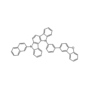 c1cc(-c2ccc3oc4ccccc4c3c2)cc(-n2c3ccccc3c3ccc4c(c5ccccc5n4-c4ccc5ccccc5c4)c32)c1